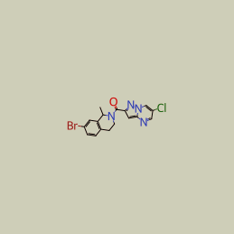 CC1c2cc(Br)ccc2CCN1C(=O)c1cc2ncc(Cl)cn2n1